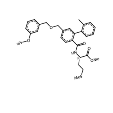 CCCOc1cccc(COCc2ccc(C(=O)N[C@@H](CCSC)C(=O)OC)c(-c3ccccc3C)c2)c1